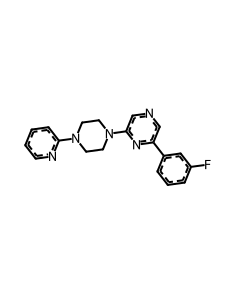 Fc1cccc(-c2cncc(N3CCN(c4ccccn4)CC3)n2)c1